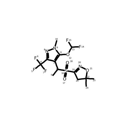 CC(c1c(C(F)(F)F)nn(C)c1OC(F)F)S(=O)(=O)C1=NOC(C)(C)C1